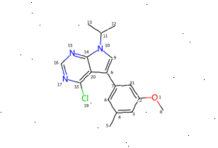 COc1cc(C)cc(-c2cn(C(C)C)c3ncnc(Cl)c23)c1